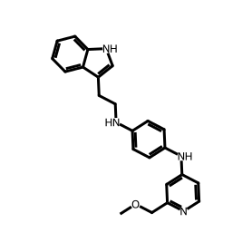 COCc1cc(Nc2ccc(NCCc3c[nH]c4ccccc34)cc2)ccn1